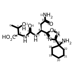 CC(O)[C@H](NC(=O)N[C@@H](CC(N)=O)c1nc(C2(N)CCCCC2)no1)C(=O)O